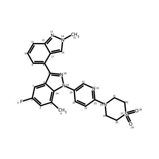 Cc1cc(F)cc2c(-c3cccc4nn(C)cc34)nn(-c3ccc(N4CCS(=O)(=O)CC4)nc3)c12